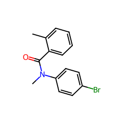 Cc1ccccc1C(=O)N(C)c1ccc(Br)cc1